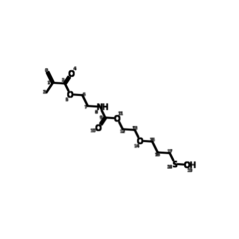 C=C(C)C(=O)OCCNC(=O)OCCOCCCSO